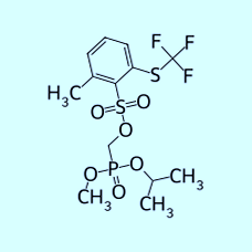 COP(=O)(COS(=O)(=O)c1c(C)cccc1SC(F)(F)F)OC(C)C